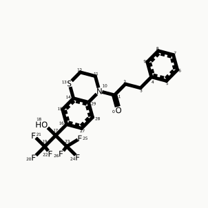 O=C(CCc1ccccc1)N1CCSc2cc(C(O)(C(F)(F)F)C(F)(F)F)ccc21